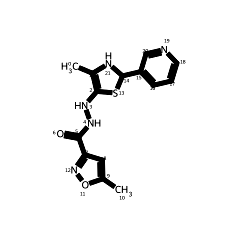 CC1=C(NNC(=O)c2cc(C)on2)SC(c2cccnc2)N1